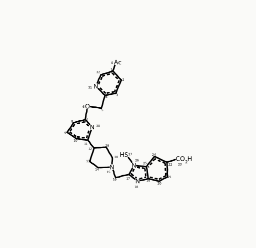 CC(=O)c1ccc(COc2cccc(C3CCN(Cc4nc5ccc(C(=O)O)cc5n4S)CC3)n2)nc1